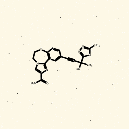 Cc1nnc(C(C)(O)C#Cc2ccc3c(c2)-c2nc(C(N)=O)cn2CCO3)o1